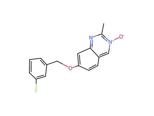 Cc1nc2cc(OCc3cccc(F)c3)ccc2c[n+]1[O-]